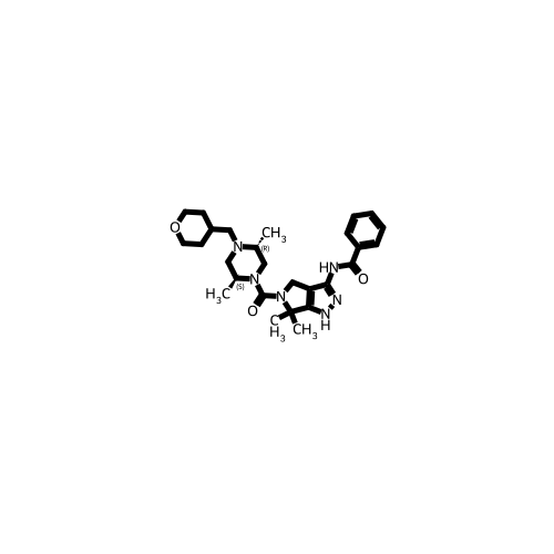 C[C@@H]1CN(C(=O)N2Cc3c(NC(=O)c4ccccc4)n[nH]c3C2(C)C)[C@@H](C)CN1CC1CCOCC1